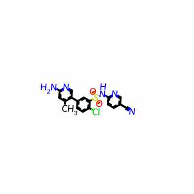 Cc1cc(N)ncc1-c1ccc(Cl)c(S(=O)(=O)Nc2ccc(C#N)cn2)c1